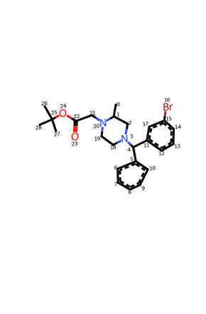 CC1CN(C(c2ccccc2)c2cccc(Br)c2)CCN1CC(=O)OC(C)(C)C